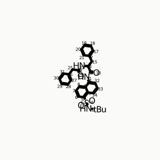 CC(C)(C)NS(=O)(=O)c1cccc2c(NC(=O)C(Cc3ccccc3)NC(=O)Cc3ccccc3)cccc12